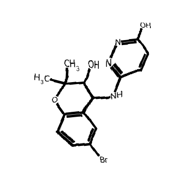 CC1(C)Oc2ccc(Br)cc2C(Nc2ccc(O)nn2)C1O